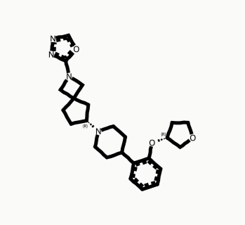 c1ccc(C2CCN([C@@H]3CCC4(C3)CN(c3nnco3)C4)CC2)c(O[C@@H]2CCOC2)c1